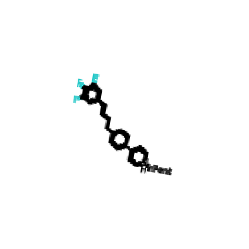 CCCCC[SiH]1CCC([C@H]2CC[C@H](CCCCc3cc(F)c(F)c(F)c3)CC2)CC1